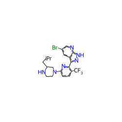 CC(C)CC1CN(c2ccc(C(F)(F)F)c(-c3n[nH]c4ncc(Br)cc34)n2)CCN1